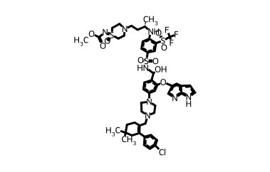 COC(=O)N=S1(=O)CCN(CC[C@H](C)Nc2ccc(S(=O)(=O)NC(O)c3ccc(N4CCN(CC5=C(c6ccc(Cl)cc6)CC(C)(C)CC5)CC4)cc3Oc3cnc4[nH]ccc4c3)cc2S(=O)(=O)C(F)(F)F)CC1